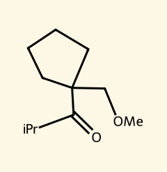 COCC1(C(=O)C(C)C)CCCC1